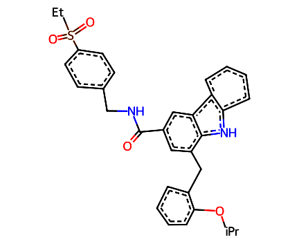 CCS(=O)(=O)c1ccc(CNC(=O)c2cc(Cc3ccccc3OC(C)C)c3[nH]c4ccccc4c3c2)cc1